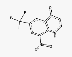 O=c1cc[nH]c2c([N+](=O)[O-])cc(C(F)(F)F)cc12